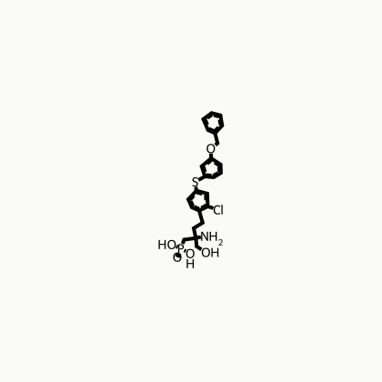 NC(CO)(CCc1ccc(Sc2cccc(OCc3ccccc3)c2)cc1Cl)CP(=O)(O)O